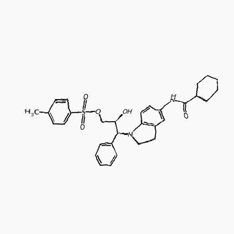 Cc1ccc(S(=O)(=O)OC[C@@H](O)[C@H](c2ccccc2)N2CCc3cc(NC(=O)C4CCCCC4)ccc32)cc1